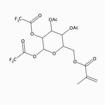 C=C(C)C(=O)OCC1OC(OC(=O)C(F)(F)F)C(OC(=O)C(F)(F)F)C(OC(C)=O)C1OC(C)=O